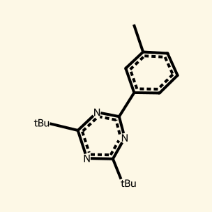 Cc1cccc(-c2nc(C(C)(C)C)nc(C(C)(C)C)n2)c1